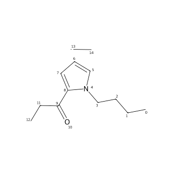 CCCCn1cccc1C(=O)CC.[CH2]C